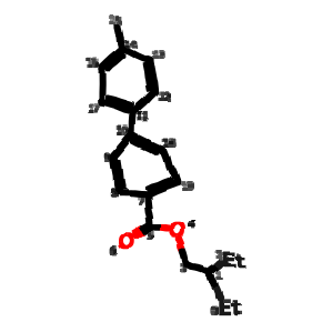 CCC(CC)COC(=O)c1ccc(-c2ccc(C)cc2)cc1